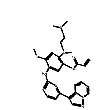 C=CC(=O)Nc1cc(Nc2nccc(-c3cnn4ccccc34)n2)c(OC)cc1N(C)CCN(C)C